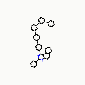 c1ccc(-c2cccc(-c3cccc(-c4ccc(-c5ccc(-c6nc(-c7ccccc7)nc7ccc8ccccc8c67)cc5)cc4)c3)c2)cc1